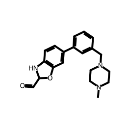 CN1CCN(Cc2cccc(-c3ccc4c(c3)OC(C=O)N4)c2)CC1